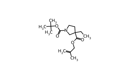 C=C(C)COC(=O)C1(CC)CCN(C(=O)OC(C)(C)C)C1